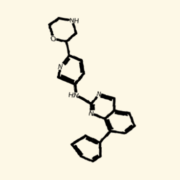 c1ccc(-c2cccc3cnc(Nc4ccc(C5CNCCO5)nc4)nc23)cc1